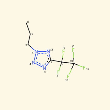 CCCn1nnc(C(F)(F)C(F)(F)F)n1